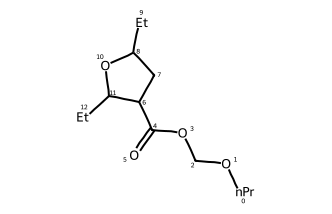 CCCOCOC(=O)C1CC(CC)OC1CC